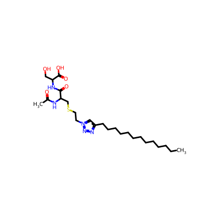 CCCCCCCCCCCCCc1cn(CCSCC(NC(C)=O)C(=O)NC(CO)C(=O)O)nn1